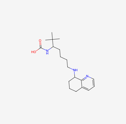 CC(C)(C)C(CCCCNC1CCCc2cccnc21)NC(=O)O